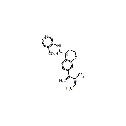 C=C(/C(=C\C)C(F)(F)F)c1ccc2c(c1)OCC[C@H]2CNc1cnccc1C(=O)O